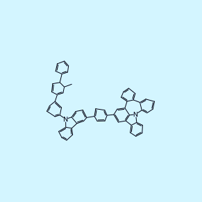 CC1C=C(c2cccc(-n3c4ccccc4c4cc(-c5ccc(-c6cc7c8c(c6)c6ccccc6n8-c6ccccc6-c6ccccc6-7)cc5)ccc43)c2)C=CC1c1ccccc1